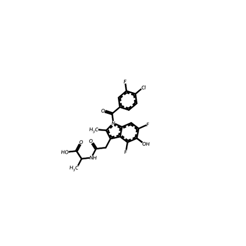 Cc1c(CC(=O)NC(C)C(=O)O)c2c(F)c(O)c(F)cc2n1C(=O)c1ccc(Cl)c(F)c1